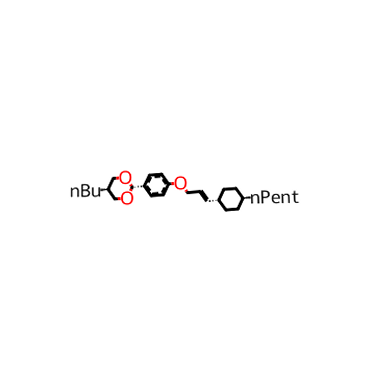 CCCCC[C@H]1CC[C@H](C=CCOc2ccc([C@H]3OC[C@H](CCCC)CO3)cc2)CC1